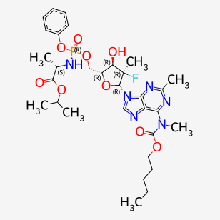 CCCCCOC(=O)N(C)c1nc(C)nc2c1ncn2[C@@H]1O[C@H](CO[P@](=O)(N[C@@H](C)C(=O)OC(C)C)Oc2ccccc2)[C@@H](O)[C@@]1(C)F